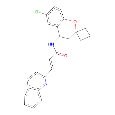 O=C(C=Cc1ccc2ccccc2n1)NC1CC2(CCC2)Oc2ccc(Cl)cc21